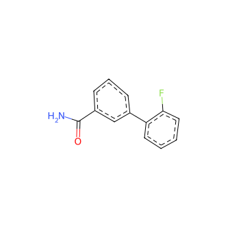 NC(=O)c1cccc(-c2ccccc2F)c1